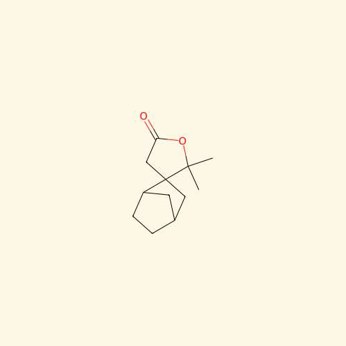 CC1(C)OC(=O)CC12CC1CCC2C1